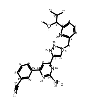 COC(c1cccc(Cn2cc(-c3cc(-c4cccc(C#N)c4)nc(N)n3)nn2)n1)C(C)C